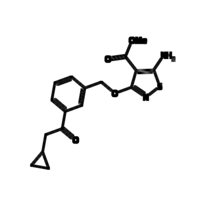 COC(=O)c1c(OCc2cccc(C(=O)CC3CC3)c2)nsc1N